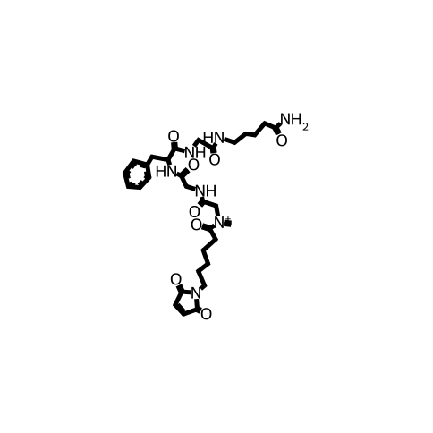 C=[N+](CC(=O)NCC(=O)NC(Cc1ccccc1)C(=O)NCC(=O)NCCCCC(N)=O)C(=O)CCCCCN1C(=O)C=CC1=O